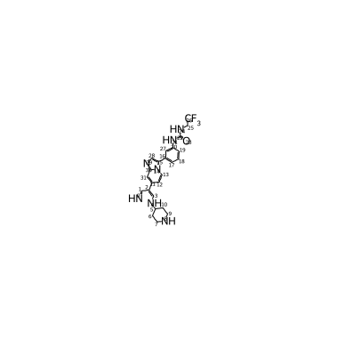 N=C/C(=C\NC1CCNCC1)c1ccn2c(-c3cccc(NC(=O)NCC(F)(F)F)c3)cnc2c1